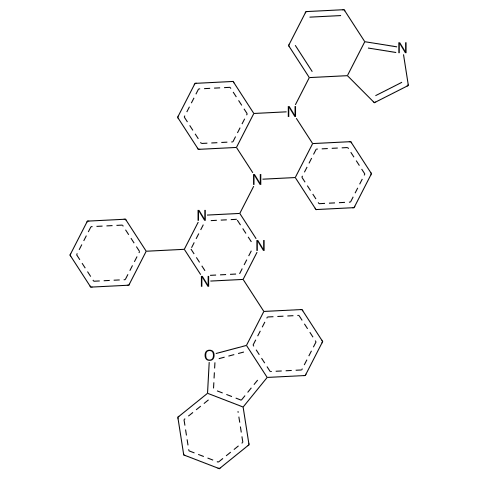 C1=CC2=NC=CC2C(N2c3ccccc3N(c3nc(-c4ccccc4)nc(-c4cccc5c4oc4ccccc45)n3)c3ccccc32)=C1